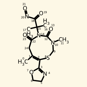 C/C1=C(\C2=NCCO2)SCN(C)C(=O)N(C(C)(C)C(=O)N=O)C(=O)C1